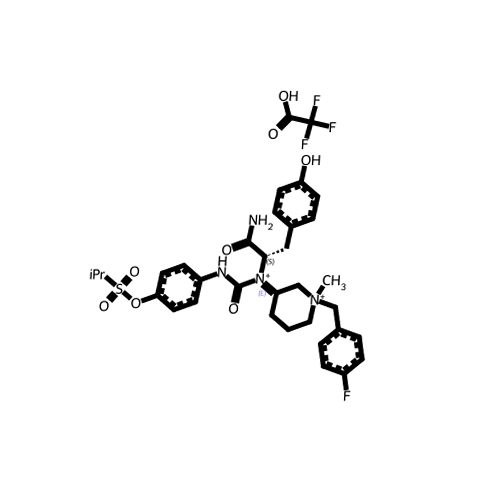 CC(C)S(=O)(=O)Oc1ccc(NC(=O)/[N+](=C2\CCC[N+](C)(Cc3ccc(F)cc3)C2)[C@@H](Cc2ccc(O)cc2)C(N)=O)cc1.O=C(O)C(F)(F)F